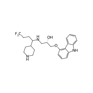 O[C@@H](CNC(CCC(F)(F)F)C1CCNCC1)COc1cccc2[nH]c3ccccc3c12